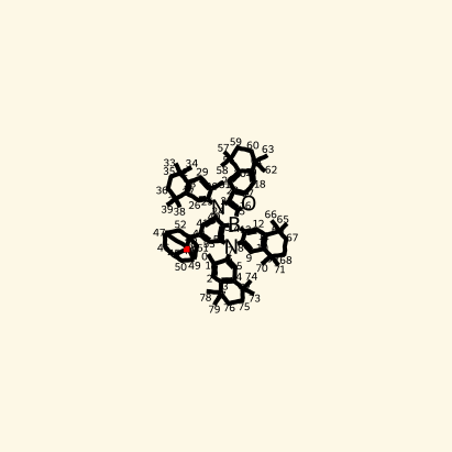 Cc1cc2c(cc1N1c3cc4c(cc3B3c5oc6cc7c(cc6c5N(c5cc6c(cc5C)C(C)(C)CCC6(C)C)c5cc(C68CC9CC(CC(C9)C6)C8)cc1c53)C(C)(C)CCC7(C)C)C(C)(C)CCC4(C)C)C(C)(C)CCC2(C)C